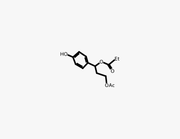 CCC(=O)OC(CCOC(C)=O)c1ccc(O)cc1